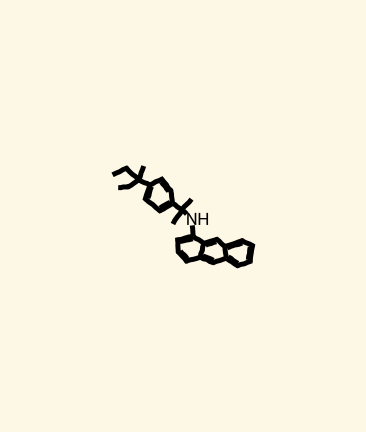 CCC(C)(CC)c1ccc(C(C)(C)Nc2cccc3cc4ccccc4cc23)cc1